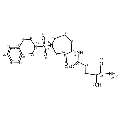 C[C@@H](C[CH]C(=O)N[C@H]1CCCN(S(=O)(=O)N2CCc3ccccc3C2)CC1=O)C(N)=O